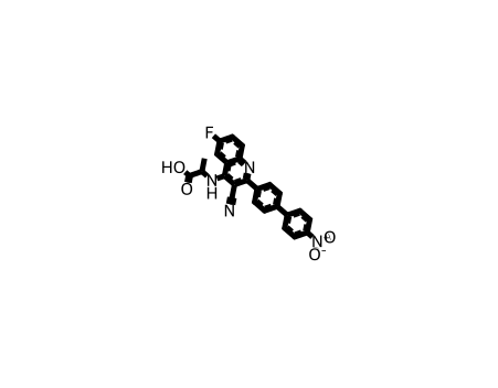 CC(Nc1c(C#N)c(-c2ccc(-c3ccc([N+](=O)[O-])cc3)cc2)nc2ccc(F)cc12)C(=O)O